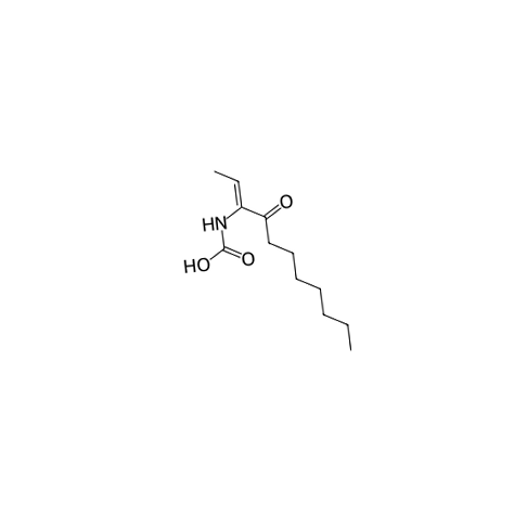 CC=C(NC(=O)O)C(=O)CCCCCCC